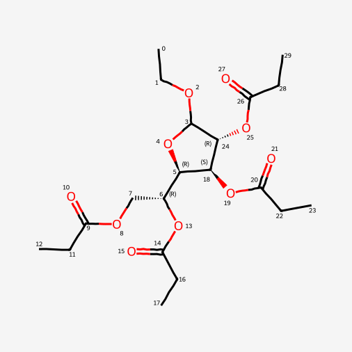 CCOC1O[C@H]([C@@H](COC(=O)CC)OC(=O)CC)[C@H](OC(=O)CC)[C@H]1OC(=O)CC